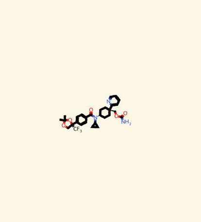 CC1(C)OCC(c2ccc(C(=O)N(C3CC3)[C@H]3CC[C@@](COC(N)=O)(c4ccccn4)CC3)cc2)(C(F)(F)F)O1